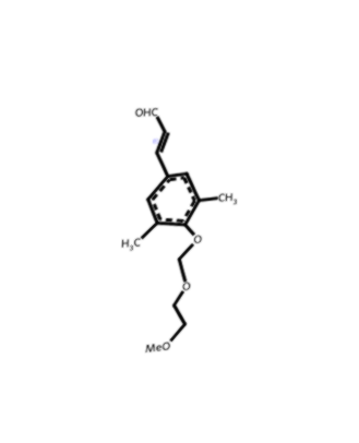 COCCOCOc1c(C)cc(/C=C/C=O)cc1C